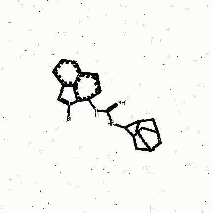 N=C(Nc1ccc2cccc3c2c1C(Br)=C3)NC1C2CC3CC(C2)CC1C3